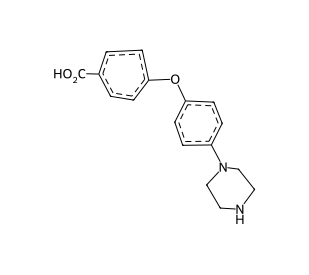 O=C(O)c1ccc(Oc2ccc(N3CCNCC3)cc2)cc1